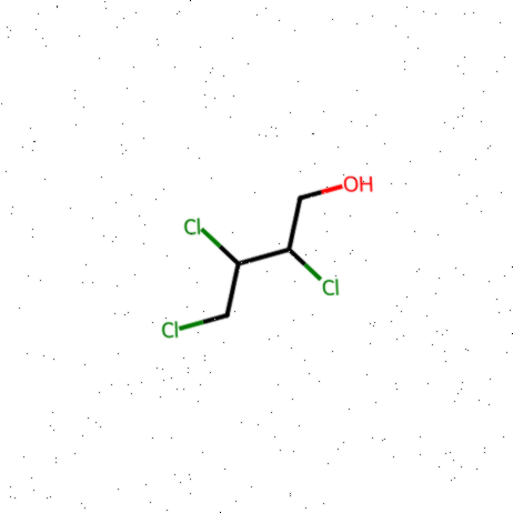 OCC(Cl)C(Cl)CCl